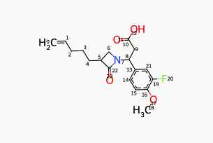 C=CCCCC1CN(C(CC(=O)O)c2ccc(OC)c(F)c2)C1=O